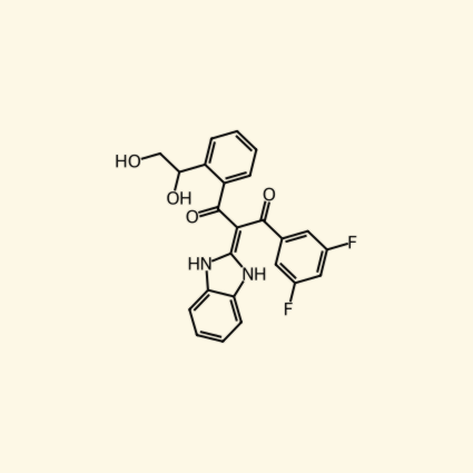 O=C(C(C(=O)c1ccccc1C(O)CO)=C1Nc2ccccc2N1)c1cc(F)cc(F)c1